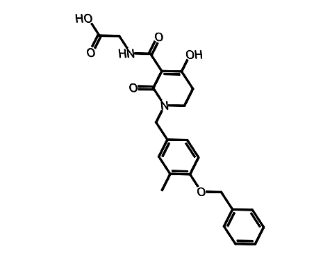 Cc1cc(CN2CCC(O)=C(C(=O)NCC(=O)O)C2=O)ccc1OCc1ccccc1